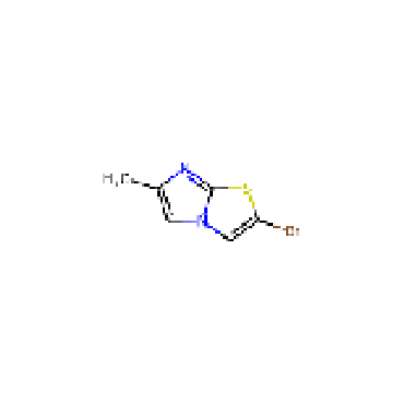 Cc1cn2cc(Br)sc2n1